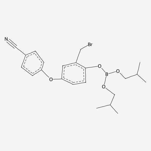 CC(C)COB(OCC(C)C)Oc1ccc(Oc2ccc(C#N)cc2)cc1CBr